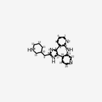 c1cnc2c(c1)-c1nc(CC3CCCNC3)[nH]c1-c1ccncc1N2